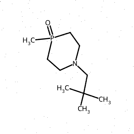 CC(C)(C)CN1CCP(C)(=O)CC1